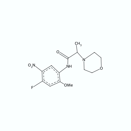 COc1cc(F)c([N+](=O)[O-])cc1NC(=O)C(C)N1CCOCC1